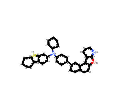 c1ccc(N(c2ccc(-c3ccc4ccc5oc6ncccc6c5c4c3)cc2)c2ccc3c(c2)sc2ccccc23)cc1